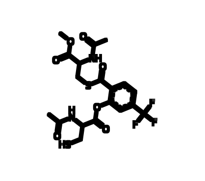 COC(=O)C(CSC(=O)c1ccc(C(F)(F)F)cc1OC(=O)C(CS)NC(C)=O)NC(C)=O